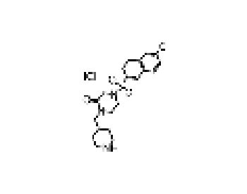 Cl.O=C1CN(S(=O)(=O)C2=Cc3ccc(Cl)cc3CC2)CCN1CC1CCNCC1